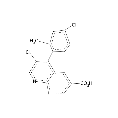 Cc1cc(Cl)ccc1-c1c(Cl)cnc2ccc(C(=O)O)cc12